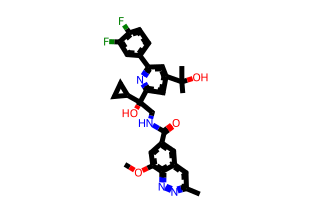 COc1cc(C(=O)NCC(O)(c2cc(C(C)(C)O)cc(-c3ccc(F)c(F)c3)n2)C2CC2)cc2cc(C)nnc12